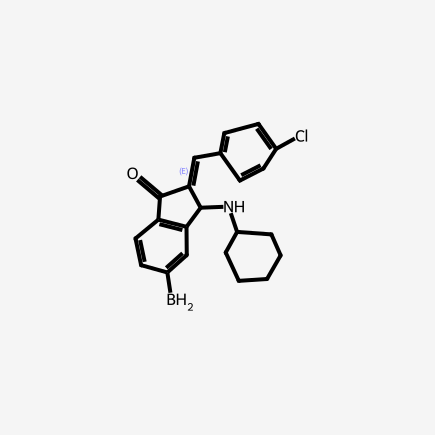 Bc1ccc2c(c1)C(NC1CCCCC1)/C(=C\c1ccc(Cl)cc1)C2=O